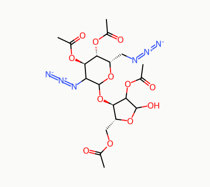 CC(=O)OC[C@H]1OC(O)C(OC(C)=O)[C@@H]1OC1O[C@@H](CN=[N+]=[N-])[C@@H](OC(C)=O)[C@H](OC(C)=O)C1N=[N+]=[N-]